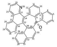 O=P1(c2ccccc2)c2ccccc2-c2c(c3ccccc3c3cccnc23)-c2c1ccc1ccccc21